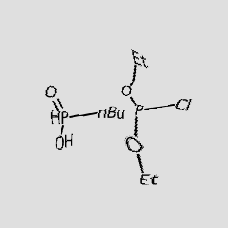 CCCC[PH](=O)O.CCOP(Cl)OCC